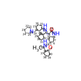 C[C@H](NC(=O)c1ccc2c(c1)/C(=C(/Nc1cccc(CN3CCCCC3)c1)c1ccccc1)C(=O)N2)c1ccccc1